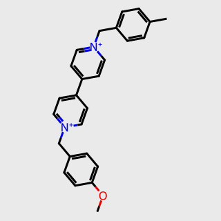 COc1ccc(C[n+]2ccc(-c3cc[n+](Cc4ccc(C)cc4)cc3)cc2)cc1